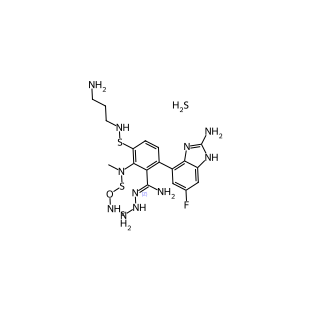 CN(SON)c1c(SNCCCN)ccc(-c2cc(F)cc3[nH]c(N)nc23)c1/C(N)=N/NN.S